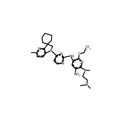 Cc1ccc2c(n1)C1(CCCCC1)CN2c1ccnc(Nc2cc(N)c(N(C)CCN(C)C)nc2OCC(F)(F)F)n1